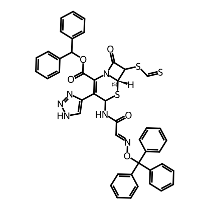 O=C(C=NOC(c1ccccc1)(c1ccccc1)c1ccccc1)NC1S[C@H]2C(SC=S)C(=O)N2C(C(=O)OC(c2ccccc2)c2ccccc2)=C1c1c[nH]nn1